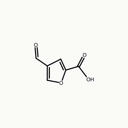 O=Cc1coc(C(=O)O)c1